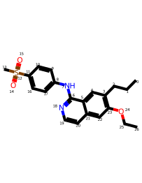 CCCc1cc2c(Nc3ccc(S(C)(=O)=O)cc3)nccc2cc1OCC